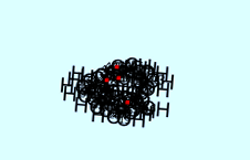 C[C@H](CC[C@@H](O[C@@H]1O[C@H](CO[C@@H]2O[C@H](CO)[C@@H](O)[C@H](O)[C@H]2O)[C@@H](O)[C@H](O)[C@H]1O[C@H]1O[C@@H](CO)[C@H](O)[C@@H](O)[C@@H]1O)C(C)(C)O)C1CC[C@@]2(C)C3CC=C4C(CC[C@H](O[C@@H]5O[C@H](CO[C@@H]6O[C@H](CO)[C@@H](O)[C@H](O)[C@H]6O)[C@@H](O)[C@H](O)[C@H]5O)C4(C)C)[C@]3(C)CC[C@]12C